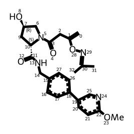 C=C(CC(=O)N1C[C@H](O)C[C@H]1C(=O)NCc1ccc(-c2ccc(OC)nc2)cc1)ON=C(C)C